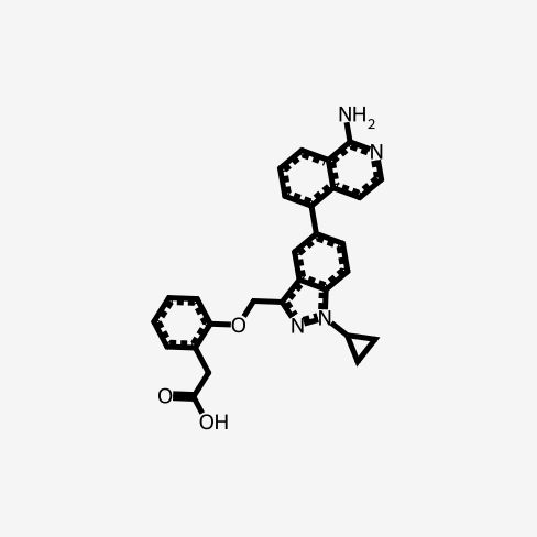 Nc1nccc2c(-c3ccc4c(c3)c(COc3ccccc3CC(=O)O)nn4C3CC3)cccc12